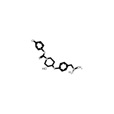 CN(C)Cc1ccc(SC2CCN(C(=S)Sc3ccc(Cl)cc3)CC2)cc1.Cl